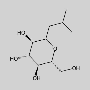 CC(C)CC1O[C@H](CO)[C@@H](O)[C@H](O)[C@H]1O